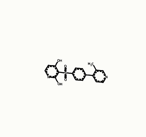 Cc1cnccc1-c1ccc(S(=O)(=O)c2c(O)ccnc2O)cc1